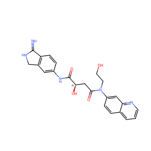 N=C1NCc2cc(NC(=O)[C@H](O)CC(=O)N(CCO)c3ccc4cccnc4c3)ccc21